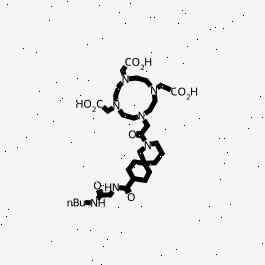 CCCCNC(=O)CNC(=O)C1CCC2(CCCN(C(=O)CN3CCN(CC(=O)O)CCN(CC(=O)O)CCN(CC(=O)O)CC3)C2)CC1